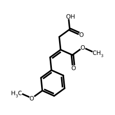 COC(=O)C(=Cc1cccc(OC)c1)CC(=O)O